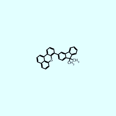 CC1(C)c2ccccc2-c2cc(-c3cccc4c3Sc3cccc5cccc-4c35)ccc21